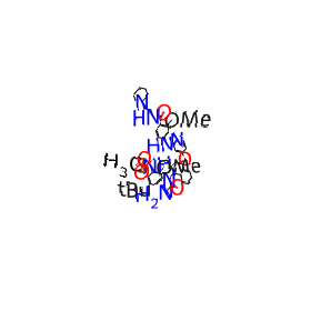 COc1cc(Nc2cc(Oc3ccc(N(C(N)=O)c4cc(C(C)(C)C)cc(NS(C)(=O)=O)c4OC)c4ccccc34)ccn2)ccc1C(=O)NCCN1CCCCC1